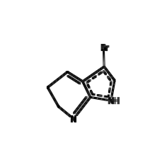 Brc1c[nH]c2c1=CCCN=2